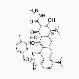 CN(C)c1ccc(O)c2c1CC1CC3[C@H](N(C)C)C(O)=C(C(=O)NN)C(=O)C3(O)C(O)=C1C2=O.Cc1ccc(S(=O)(=O)O)cc1